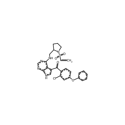 C=CS(=O)(=O)N1CCCC1CNc1ncnc2[nH]cc(C(=O)c3ccc(Oc4ccccc4)cc3Cl)c12